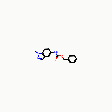 Cn1ncc2cc(NC(=O)OCc3ccccc3)ccc21